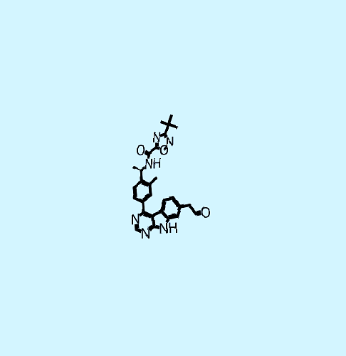 Cc1cc(-c2ncnc3[nH]c4cc(CC=O)ccc4c23)ccc1[C@@H](C)NC(=O)c1nc(C(C)(C)C)no1